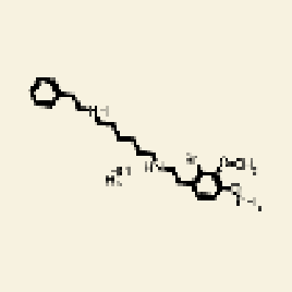 COc1ccc(CCNCCCCCCNCCc2ccccc2)c(Br)c1OC.Cl.Cl